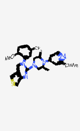 COc1cc(N2C(C)CN(C3=Nc4cscc4CN3c3cc(C(F)(F)F)ccc3OC)CC2C)ccn1